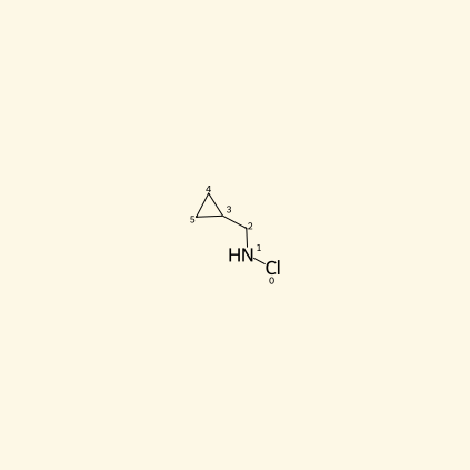 ClNCC1CC1